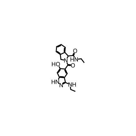 CCNC(=O)C1c2ccccc2CN1C(=O)c1cc2c(NCC)n[nH]c2cc1O